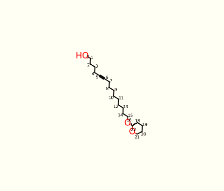 OCCCCC#CCCCCCCCCCOC1CCCCO1